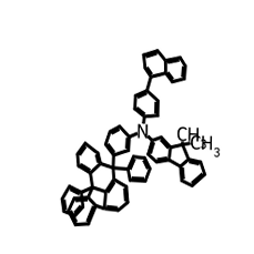 CC1(C)c2ccccc2-c2ccc(N(c3ccc(-c4cccc5ccccc45)cc3)c3cccc(C4(c5ccccc5)c5ccccc5C5(c6ccccc6)c6ccccc6-c6cccc4c65)c3)cc21